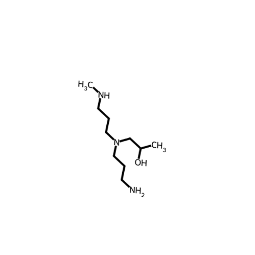 CNCCCN(CCCN)CC(C)O